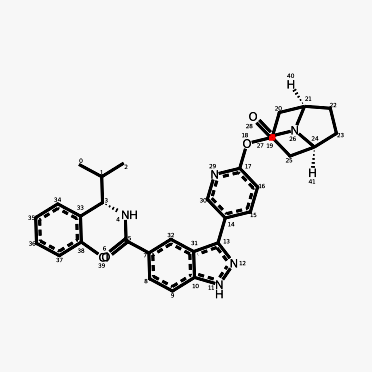 CC(C)[C@H](NC(=O)c1ccc2[nH]nc(-c3ccc(OC4C[C@H]5CC[C@@H](C4)N5C=O)nc3)c2c1)c1ccccc1Cl